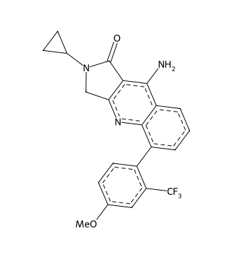 COc1ccc(-c2cccc3c(N)c4c(nc23)CN(C2CC2)C4=O)c(C(F)(F)F)c1